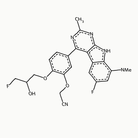 CNc1cc(F)cc2c1[nH]c1nc(C)nc(-c3ccc(OCC(O)CF)c(OCC#N)c3)c12